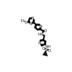 CCOc1cncc(-c2ccc(C(=O)NCc3cncc(NS(=O)(=O)C4CC4)c3)nc2)n1